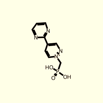 O=P(O)(O)C[n+]1ccc(-c2ncccn2)cn1